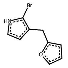 Brc1[nH]ccc1Cc1ccco1